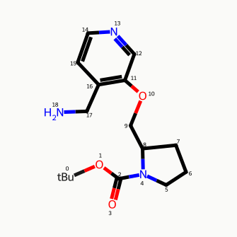 CC(C)(C)OC(=O)N1CCCC1COc1cnccc1CN